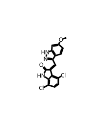 COc1ccc2c(C=C3C(=O)Nc4c(Cl)ccc(Cl)c43)n[nH]c2c1